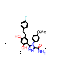 COc1ccc(-n2c(C(N)=O)nnc2-c2cc(CCc3ccc(F)cc3)c(O)cc2O)cc1